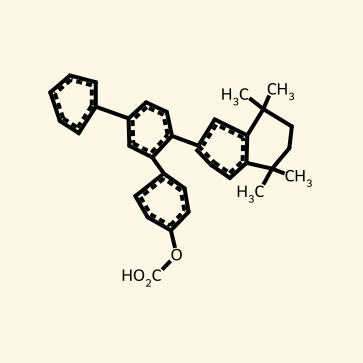 CC1(C)CCC(C)(C)c2cc(-c3ccc(-c4ccccc4)cc3-c3ccc(OC(=O)O)cc3)ccc21